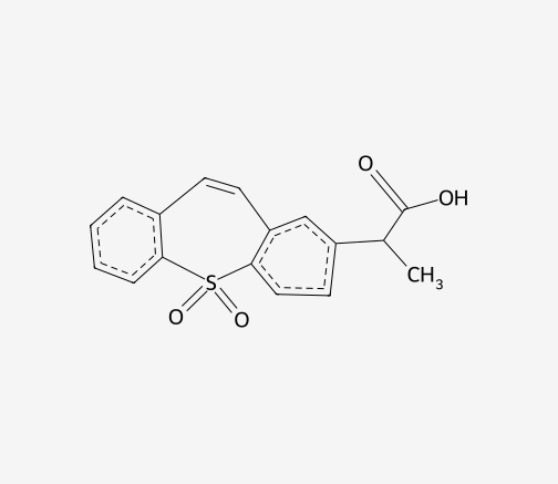 CC(C(=O)O)c1ccc2c(c1)C=Cc1ccccc1S2(=O)=O